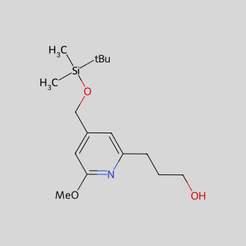 COc1cc(CO[Si](C)(C)C(C)(C)C)cc(CCCO)n1